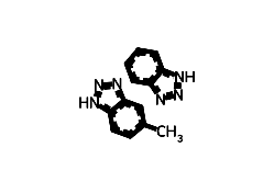 Cc1ccc2[nH]nnc2c1.c1ccc2[nH]nnc2c1